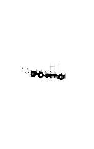 COc1cc(-c2nc(NC(=O)N[C@H]3CCCN(C)C3)cs2)ccc1C1=CCOCC1